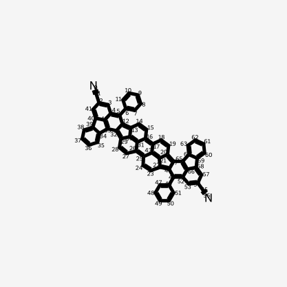 N#Cc1cc2c(-c3ccccc3)c3c4ccc5c6ccc7c8c(ccc(c9ccc(c4c59)c3c3c4ccccc4c(c1)c23)c68)c1c(-c2ccccc2)c2cc(C#N)cc3c4ccccc4c(c23)c71